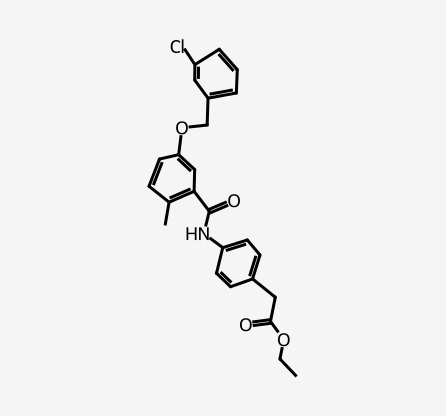 CCOC(=O)Cc1ccc(NC(=O)c2cc(OCc3cccc(Cl)c3)ccc2C)cc1